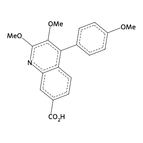 COc1ccc(-c2c(OC)c(OC)nc3cc(C(=O)O)ccc23)cc1